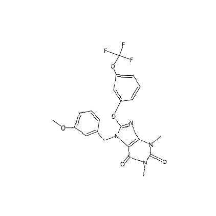 COc1cccc(Cn2c(Oc3cccc(OC(F)(F)F)c3)nc3c2c(=O)n(C)c(=O)n3C)c1